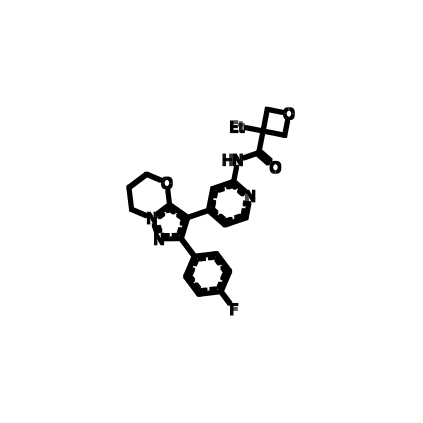 CCC1(C(=O)Nc2cc(-c3c(-c4ccc(F)cc4)nn4c3OCCC4)ccn2)COC1